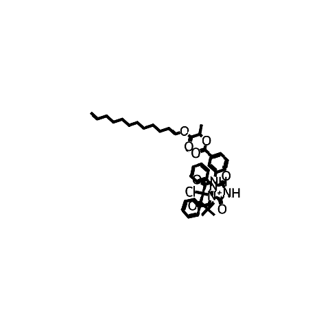 CCCCCCCCCCCCOC(=O)C(C)OC(=O)c1cccc(NC(=O)C(Cl)(C(=O)C(C)(C)C)[N+]2(Cc3ccccc3)C(=O)NC(=O)N2c2ccccc2)c1